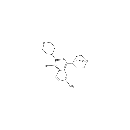 Cc1ccc2c(Br)c(C3CCOCC3)nc([N+]34CCN(CC3)CC4)c2c1